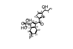 CC[C@@H](O)c1csc(C(=O)c2cn(P(=O)(O)O)c3cc(F)ccc23)n1